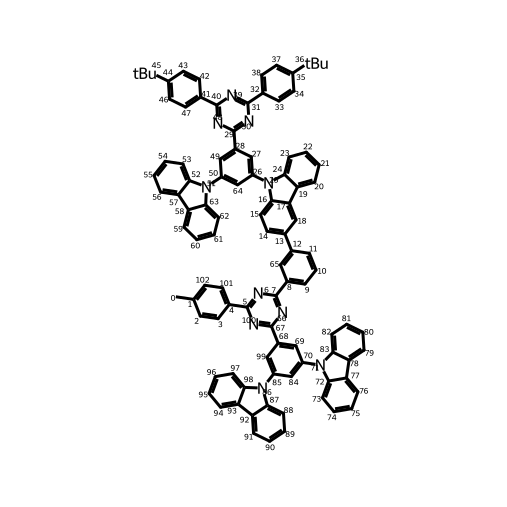 Cc1ccc(-c2nc(-c3cccc(-c4ccc5c(c4)c4ccccc4n5-c4cc(-c5nc(-c6ccc(C(C)(C)C)cc6)nc(-c6ccc(C(C)(C)C)cc6)n5)cc(-n5c6ccccc6c6ccccc65)c4)c3)nc(-c3cc(-n4c5ccccc5c5ccccc54)cc(-n4c5ccccc5c5ccccc54)c3)n2)cc1